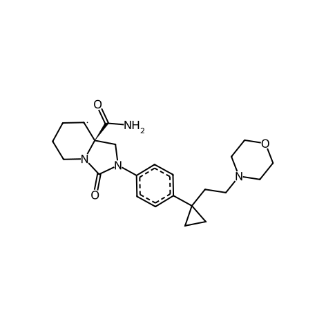 NC(=O)[C@]12[CH]CCCN1C(=O)N(c1ccc(C3(CCN4CCOCC4)CC3)cc1)C2